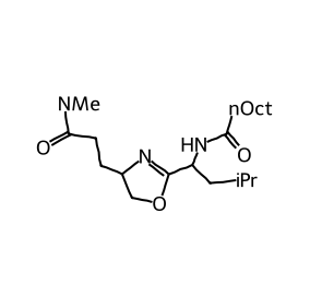 CCCCCCCCC(=O)NC(CC(C)C)C1=NC(CCC(=O)NC)CO1